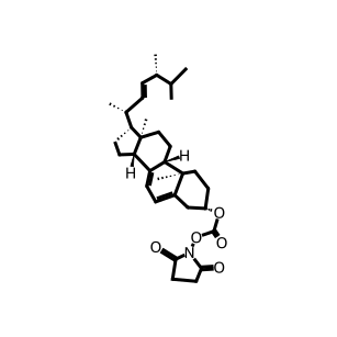 CC(C)[C@@H](C)/C=C/[C@@H](C)[C@H]1CC[C@H]2C3=CC=C4C[C@@H](OC(=O)ON5C(=O)CCC5=O)CC[C@]4(C)[C@H]3CC[C@]12C